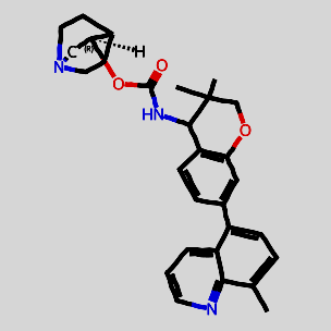 Cc1ccc(-c2ccc3c(c2)OCC(C)(C)C3NC(=O)O[C@H]2CN3CCC2CC3)c2cccnc12